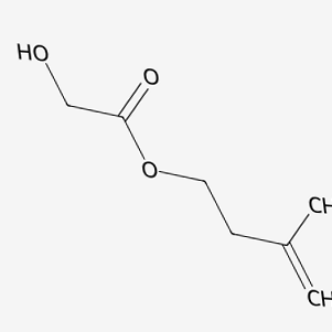 C=C(C)CCOC(=O)CO